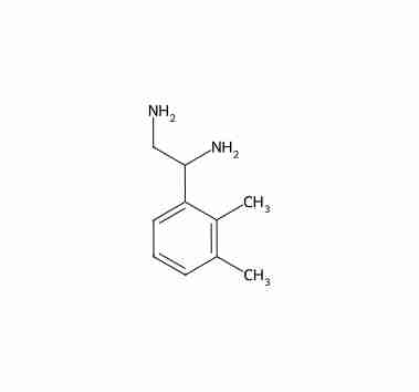 Cc1cccc(C(N)CN)c1C